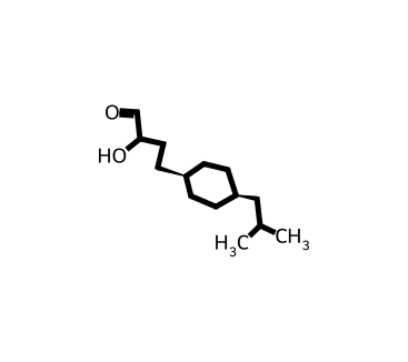 CC(C)C[C@H]1CC[C@@H](CCC(O)C=O)CC1